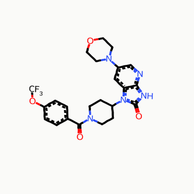 O=C(c1ccc(OC(F)(F)F)cc1)N1CCC(n2c(=O)[nH]c3ncc(N4CCOCC4)cc32)CC1